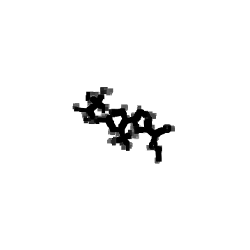 CCOC(=O)c1ncc(-c2cnc(N[C@@H](C)C(F)(F)F)cc2C(F)(F)F)s1